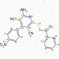 N#Cc1c(N)nc(SCC(=O)c2ccccn2)c(C#N)c1-c1ccc([N+](=O)[O-])cc1